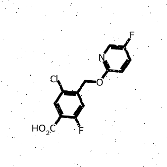 O=C(O)c1cc(Cl)c(COc2ccc(F)cn2)cc1F